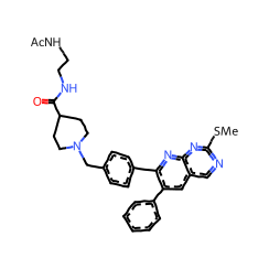 CSc1ncc2cc(-c3ccccc3)c(-c3ccc(CN4CCC(C(=O)NCCNC(C)=O)CC4)cc3)nc2n1